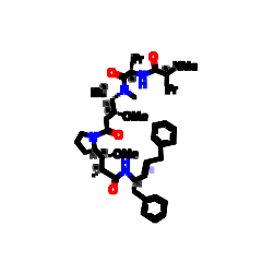 CC[C@H](C)[C@@H]([C@@H](CC(=O)N1CCC[C@H]1[C@H](OC)[C@@H](C)C(=O)N[C@H](/C=C/Cc1ccccc1)Cc1ccccc1)OC)N(C)C(=O)[C@@H](NC(=O)[C@@H](NC)C(C)C)C(C)C